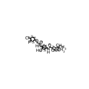 CC(C)(C)C1CC(C(=O)NC23CCC(NC(=O)COc4ccc(Cl)c(F)c4)(CC2)C(O)C3)ON1